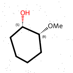 CO[C@@H]1CCCC[C@@H]1O